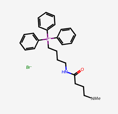 CNCCCC(=O)NCCCC[P+](c1ccccc1)(c1ccccc1)c1ccccc1.[Br-]